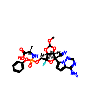 COC1O[C@@H]2[C@H](O1)[C@@](F)(COP(=O)(N[C@@H](C)C(=O)O)Oc1ccccc1)O[C@@]2(C#N)c1ccc2c(N)ncnn12